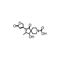 CC1C(O)C2(CCN(C(=O)O)CC2)C(=O)N1C1=CC(=O)OC1